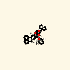 C#Cc1cccc2cccc(-c3ncc4c(N5C[C@H]6CC[C@@H](C5)N6C(=O)Oc5ccccc5)nc(OCC56CCCN5CCC6)nc4c3F)c12